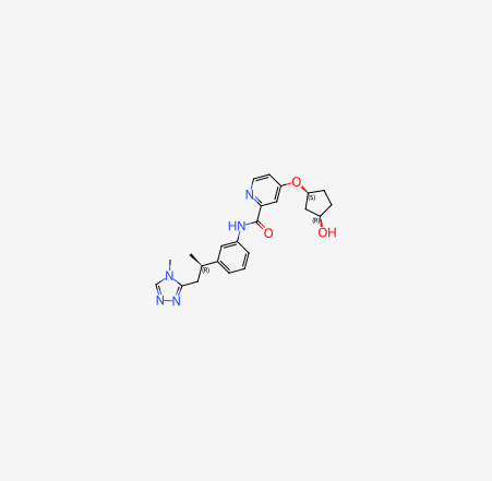 C[C@H](Cc1nncn1C)c1cccc(NC(=O)c2cc(O[C@H]3CC[C@@H](O)C3)ccn2)c1